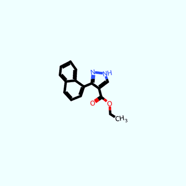 CCOC(=O)c1c[nH]nc1-c1cccc2ccccc12